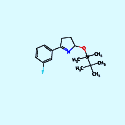 CC(C)(C)[Si](C)(C)OC1CCC(c2cccc(F)c2)=N1